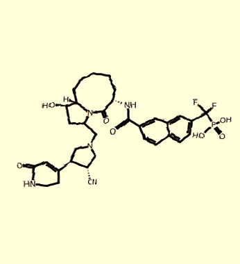 N#C[C@H]1CN(CC2C[C@@H](O)[C@@H]3CCCCC[C@H](NC(=O)c4ccc5ccc(C(F)(F)P(=O)(O)O)cc5c4)C(=O)N23)C[C@@H]1C1=CC(=O)NCC1